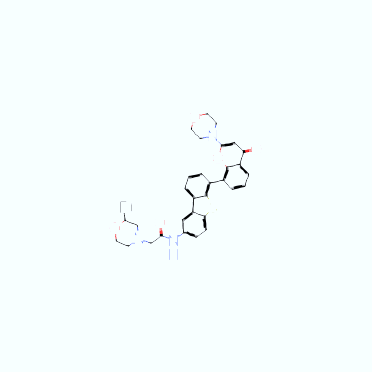 CCC1CN(CC(=O)Nc2ccc3sc4c(-c5cccc6c(=O)cc(N7CCOCC7)oc56)cccc4c3c2)CCO1